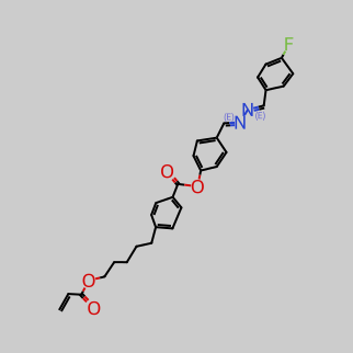 C=CC(=O)OCCCCCc1ccc(C(=O)Oc2ccc(/C=N/N=C/c3ccc(F)cc3)cc2)cc1